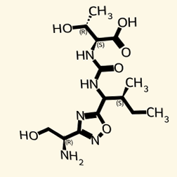 CC[C@H](C)C(NC(=O)N[C@H](C(=O)O)[C@@H](C)O)c1nc([C@@H](N)CO)no1